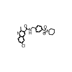 Cc1nc2ccc(Cl)cc2cc1C(=O)NCc1ccc(S(=O)(=O)N2CCCCC2)cc1